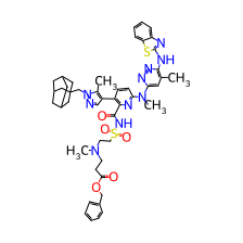 Cc1cc(N(C)c2ccc(-c3cnn(CC45CC6CC(CC(C6)C4)C5)c3C)c(C(=O)NS(=O)(=O)CCN(C)CCC(=O)OCc3ccccc3)n2)nnc1Nc1nc2ccccc2s1